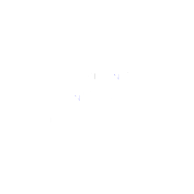 C=N/C=C\C(C)=N/CC